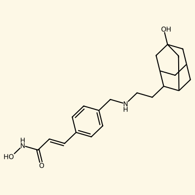 O=C(C=Cc1ccc(CNCCC2C3CC4CC2CC(O)(C4)C3)cc1)NO